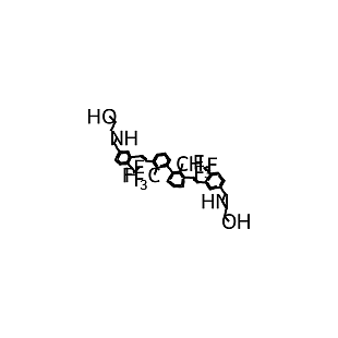 Cc1c(/C=C/c2cc(CNCCO)ccc2C(F)(F)F)cccc1-c1cccc(/C=C/c2cc(CNCCO)ccc2C(F)(F)F)c1C